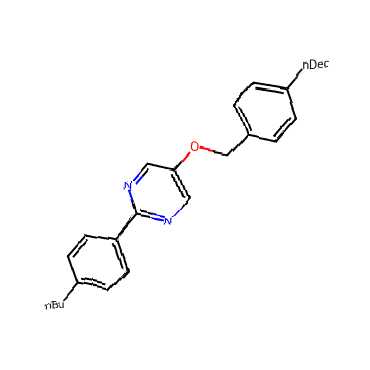 CCCCCCCCCCc1ccc(COc2cnc(-c3ccc(CCCC)cc3)nc2)cc1